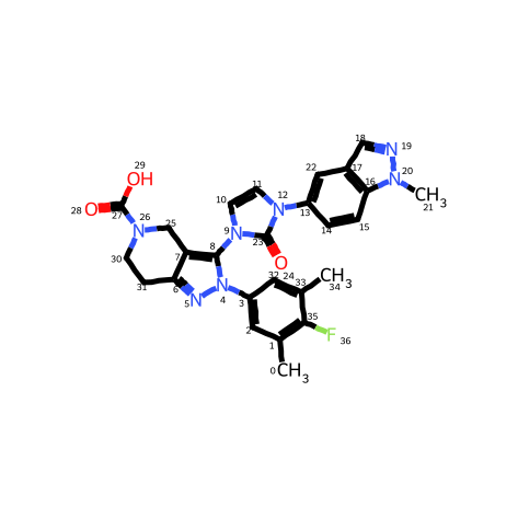 Cc1cc(-n2nc3c(c2-n2ccn(-c4ccc5c(cnn5C)c4)c2=O)CN(C(=O)O)CC3)cc(C)c1F